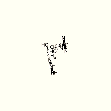 C.C.C.C.O=CO.[N-]=[N+]=N.[N-]=[N+]=[N-]